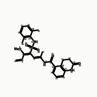 C=N/C(OC)=C(\C=C(/C)NC(=O)c1cccc2c1CCC(=O)N2)S(=O)(=O)Nc1c(C)cccc1C